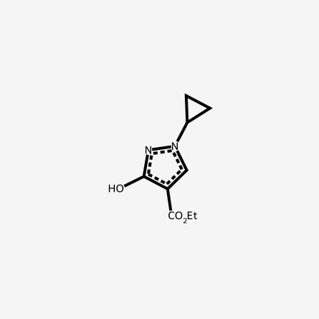 CCOC(=O)c1cn(C2CC2)nc1O